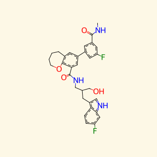 CNC(=O)c1cc(F)cc(-c2cc3c(c(C(=O)NCC(CO)Cc4c[nH]c5cc(F)ccc45)c2)OCCCC3)c1